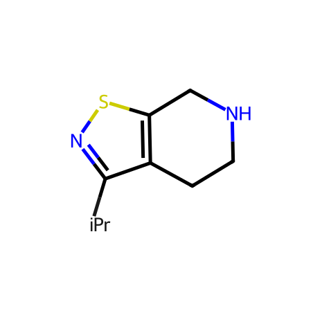 CC(C)c1nsc2c1CCNC2